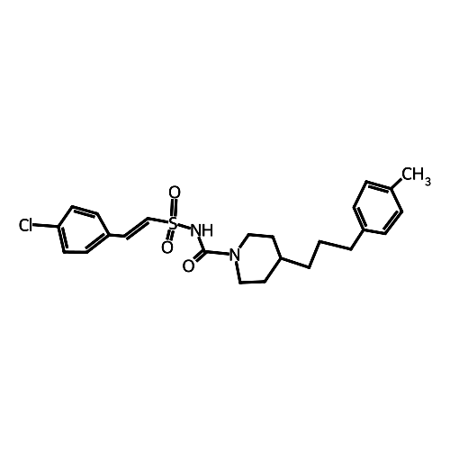 Cc1ccc(CCCC2CCN(C(=O)NS(=O)(=O)C=Cc3ccc(Cl)cc3)CC2)cc1